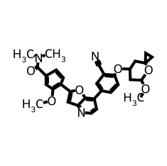 COc1cc(C(=O)N(C)C)ccc1-c1cc2nccc(-c3ccc(OC4CC(OC)OC5(CC5)C4)c(C#N)c3)c2o1